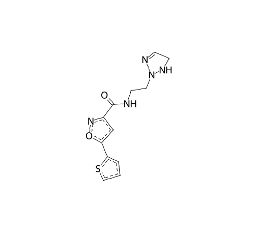 O=C(NCCN1N=CCN1)c1cc(-c2cccs2)on1